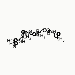 C=C(/C=C\C=C/CNC(=O)OC1CCN(CCC(=O)N(C)c2ccc(CC(=O)NCc3cccc(C[C@@H](C)NC[C@H](O)c4ccc(O)c5[nH]c(=O)ccc45)c3)cc2)CC1)c1ccccc1